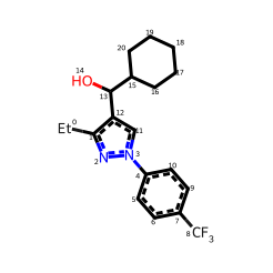 CCc1nn(-c2ccc(C(F)(F)F)cc2)cc1C(O)C1CCCCC1